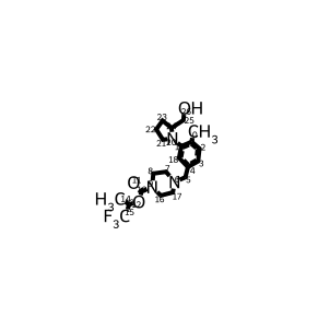 Cc1ccc(CN2CCN(C(=O)OC(C)C(F)(F)F)CC2)cc1N1CCCC1CO